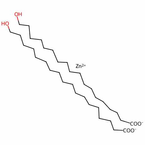 O=C([O-])CCCCCCCCCCCCCCCCCO.O=C([O-])CCCCCCCCCCCCCCCCCO.[Zn+2]